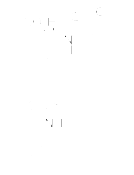 O=C(Nc1ccccc1-c1ccccc1)Oc1ccc(C[C@H](NC(=O)c2ccccc2Cl)C(=O)O)cc1